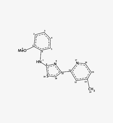 COc1ccccc1Nc1nc(-c2cc(C)ccn2)cs1